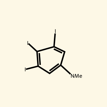 CNc1cc(I)c(I)c(I)c1